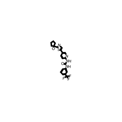 [O]C1(c2ncc(-c3ccc(NC(=O)Nc4cccc(C(F)(F)F)c4)nc3)s2)CCCC1